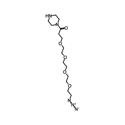 [N-]=[N+]=NCCOCCOCCOCCOCCC(=O)N1CCNCC1